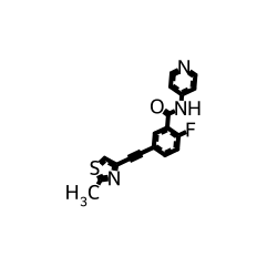 Cc1nc(C#Cc2ccc(F)c(C(=O)Nc3ccncc3)c2)cs1